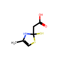 CC1=CSC(S)(CC(=O)O)N1